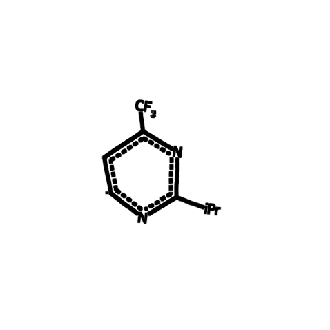 CC(C)c1n[c]cc(C(F)(F)F)n1